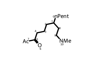 CCCCCC(CCCC(=O)C(C)=O)CCNC